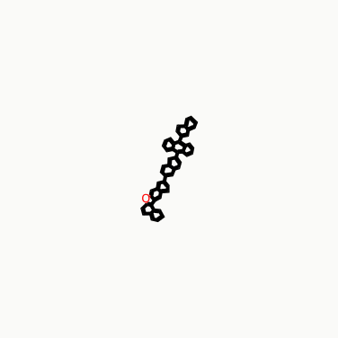 c1ccc2cc(-c3c4ccccc4c(-c4ccc5cc(-c6ccc7cc8c(cc7c6)oc6ccc7ccccc7c68)ccc5c4)c4ccccc34)ccc2c1